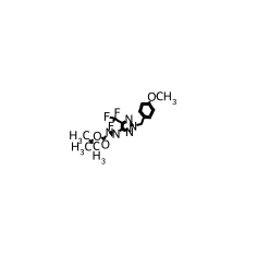 COc1ccc(Cn2nc(/N=N/C(=O)OC(C)(C)C)c(C(F)(F)F)n2)cc1